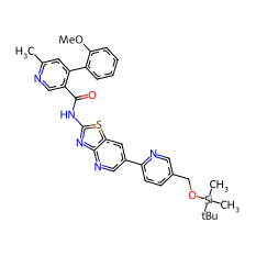 COc1ccccc1-c1cc(C)ncc1C(=O)Nc1nc2ncc(-c3ccc(CO[Si](C)(C)C(C)(C)C)cn3)cc2s1